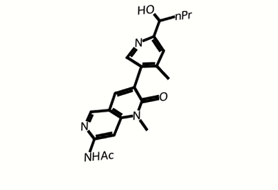 CCCC(O)c1cc(C)c(-c2cc3cnc(NC(C)=O)cc3n(C)c2=O)cn1